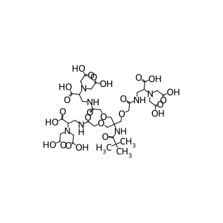 CC(C)(C)C(=O)NC(COCC(=O)NCC(C(=O)O)N(CC(=O)O)CC(=O)O)(COCC(=O)NCC(C(=O)O)N(CC(=O)O)CC(=O)O)COCC(=O)NCC(C(=O)O)N(CC(=O)O)CC(=O)O